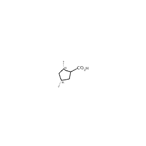 C[C@H]1CC(C(=O)O)[C@@H](C)C1